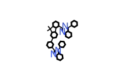 CC1(C)c2cc(-c3cccc(-c4nc5ccccc5n4-c4ccccc4)c3)ccc2-c2c(-c3nc(-c4ccccc4)c4ccccc4n3)cccc21